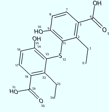 CCc1c(C(=O)O)ccc(O)c1Sc1c(O)ccc(C(=O)O)c1CC